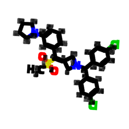 CS(=O)(=O)C(=C1CN(C(c2ccc(Cl)cc2)c2ccc(Cl)cc2)C1)c1cccc(N2CCCC2)c1